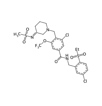 CCS(=O)(=O)c1ccc(Cl)cc1CNC(=O)c1cc(Cl)c(CN2CCC/C(=N\S(C)(=O)=O)C2)c(OC(F)(F)F)c1